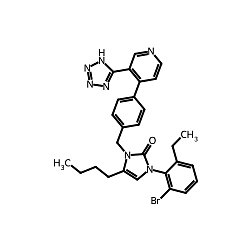 CCCCc1cn(-c2c(Br)cccc2CC)c(=O)n1Cc1ccc(-c2ccncc2-c2nnn[nH]2)cc1